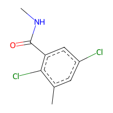 CNC(=O)c1cc(Cl)cc(C)c1Cl